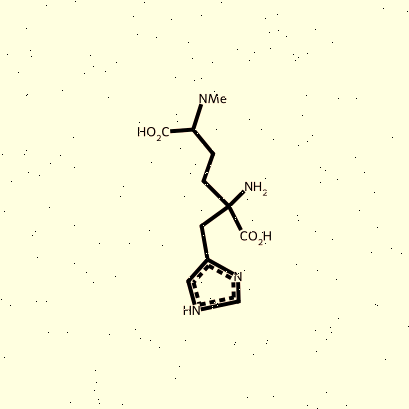 CNC(CCC(N)(Cc1c[nH]cn1)C(=O)O)C(=O)O